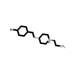 CCC[Si@H]1CC[C@H](CCC2CCC(Br)CC2)CC1